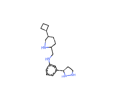 c1cc(NCC2CCC(C3CCC3)CN2)cc(C2CCNN2)c1